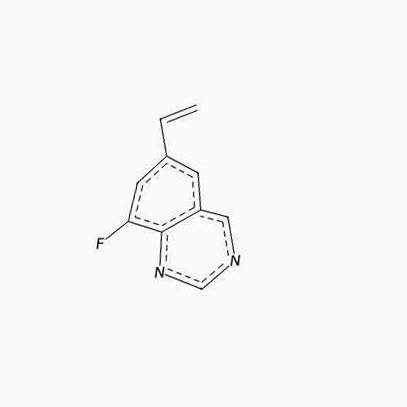 C=Cc1cc(F)c2ncncc2c1